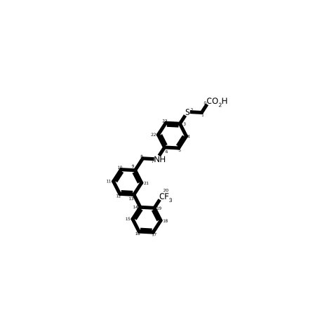 O=C(O)CSc1ccc(NCc2cccc(-c3ccccc3C(F)(F)F)c2)cc1